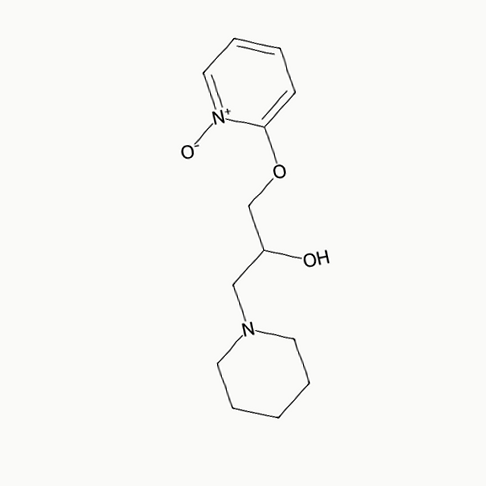 [O-][n+]1ccccc1OCC(O)CN1CCCCC1